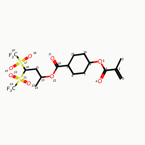 C=C(C)C(=O)OC1CCC(C(=O)OC(C)CC(S(=O)(=O)C(F)(F)F)S(=O)(=O)C(F)(F)F)CC1